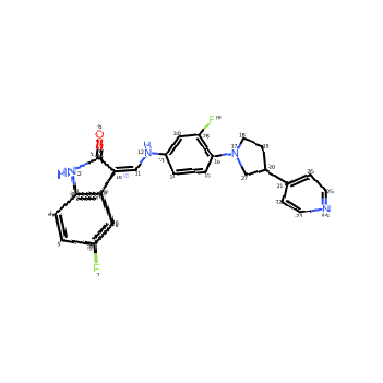 O=C1Nc2ccc(F)cc2/C1=C/Nc1ccc(N2CCC(c3ccncc3)C2)c(F)c1